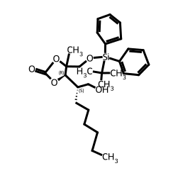 CCCCCC[C@@H](CO)[C@H]1OC(=O)OC1(C)CO[Si](c1ccccc1)(c1ccccc1)C(C)(C)C